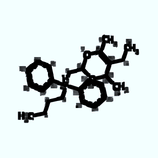 CCCC[PH](CC1OC(C)=C(CC)C(C)O1)(c1ccccc1)c1ccccc1